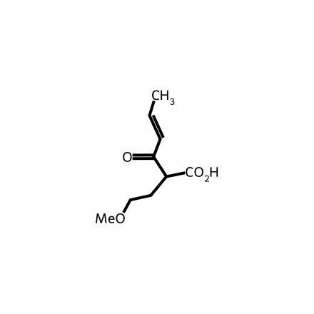 CC=CC(=O)C(CCOC)C(=O)O